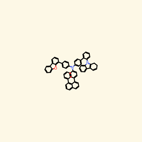 C1=Cc2c(n(-c3ccccc3-c3ccc(N(c4ccc(-c5cccc6c5oc5ccccc56)cc4)c4ccc(-c5cccc6cccc(-c7ccccc7)c56)cc4)cc3)c3ccccc23)CC1